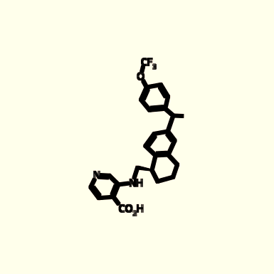 CC(c1ccc(OC(F)(F)F)cc1)c1ccc2c(c1)CCC[C@H]2CNc1cnccc1C(=O)O